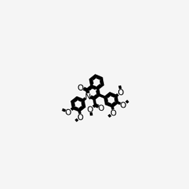 COC(=O)c1c(-c2cc(OC)c(OC)c(OC)c2)c2ccccc2c(=O)n1-c1ccc(OC)c(OC)c1